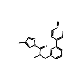 C=N/C=C\C(=C/C)c1cccc(CN(C)C(=O)n2cc(Cl)cn2)c1